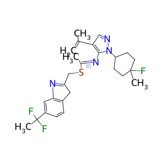 C=C(C)c1cnn(C2CCC(C)(F)CC2)c1/N=C(\C)SCC1=Nc2cc(C(C)(F)F)ccc2C1